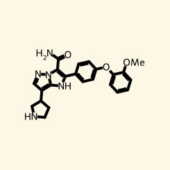 COc1ccccc1Oc1ccc(-c2[nH]c3c(C4CCNC4)cnn3c2C(N)=O)cc1